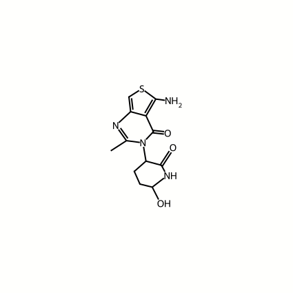 Cc1nc2csc(N)c2c(=O)n1C1CCC(O)NC1=O